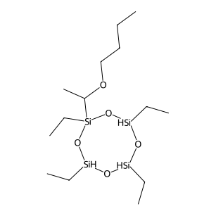 CCCCOC(C)[Si]1(CC)O[SiH](CC)O[SiH](CC)O[SiH](CC)O1